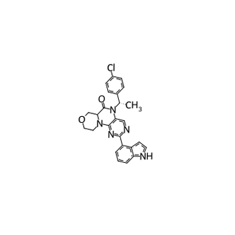 C[C@@H](c1ccc(Cl)cc1)N1C(=O)C2COCCN2c2nc(-c3cccc4[nH]ccc34)ncc21